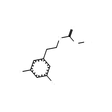 CC(C)(C)OC(=O)NCCc1cc(N)cc(F)c1